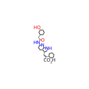 O=C(Cc1cccc(O)c1)Nc1ccc2c(/C=C(/C(=O)O)c3ccccc3)c[nH]c2n1